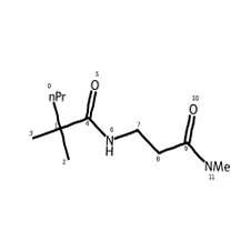 CCCC(C)(C)C(=O)NCCC(=O)NC